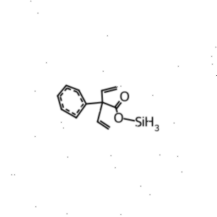 C=CC(C=C)(C(=O)O[SiH3])c1ccccc1